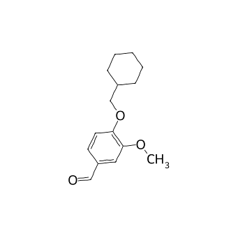 COc1cc(C=O)ccc1OCC1CCCCC1